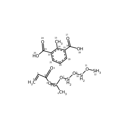 C=CC(=O)O[SiH](C)O[SiH2]O[SiH2]O[SiH3].Cc1c(C(=O)O)cccc1C(=O)O